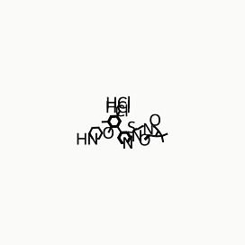 Cc1cc(Cl)cc(-c2ccnc3nc(CN4C(=O)C5C(C4=O)C5(C)C)sc23)c1OC1CCCNC1.Cl.Cl